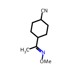 CON=C(C)C1CCC(C#N)CC1